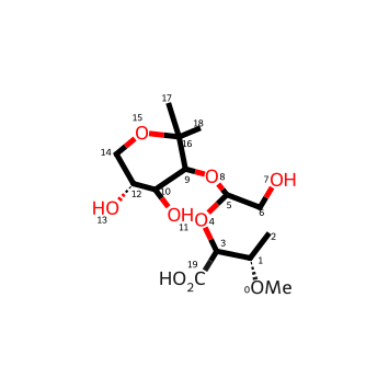 CO[C@@H](C)C(OC(CO)OC1C(O)[C@H](O)COC1(C)C)C(=O)O